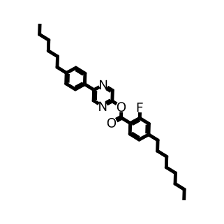 CCCCCCCCc1ccc(C(=O)Oc2cnc(-c3ccc(CCCCCC)cc3)cn2)c(F)c1